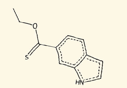 CCOC(=S)c1ccc2cc[nH]c2c1